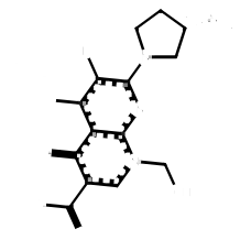 CCn1cc(C(=O)O)c(=O)c2c(C)c(F)c(N3CC[C@H](N)C3)nc21.Cl.O